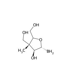 B[C@H]1OC(CO)[C@@](C)(CO)[C@@H]1O